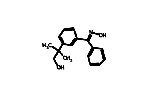 CC(C)(CO)c1cccc(C(=NO)c2ccccc2)c1